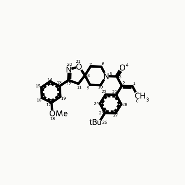 CC=C(C(=O)N1CCC2(CC1)CC(c1cccc(OC)c1)=NO2)c1ccc(C(C)(C)C)cc1